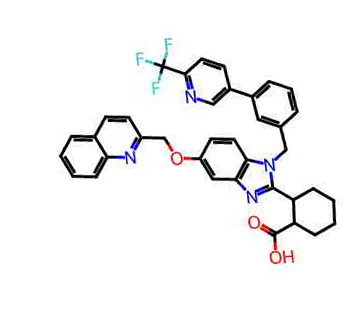 O=C(O)C1CCCCC1c1nc2cc(OCc3ccc4ccccc4n3)ccc2n1Cc1cccc(-c2ccc(C(F)(F)F)nc2)c1